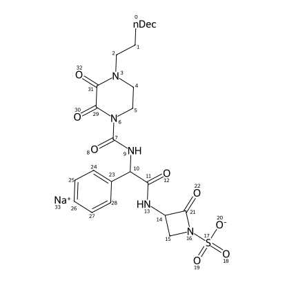 CCCCCCCCCCCCN1CCN(C(=O)NC(C(=O)NC2CN(S(=O)(=O)[O-])C2=O)c2ccccc2)C(=O)C1=O.[Na+]